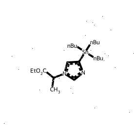 CCC[CH2][Sn]([CH2]CCC)([CH2]CCC)[c]1cn(C(C)C(=O)OCC)cn1